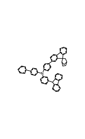 c1ccc(-c2ccc(N(c3ccc(-c4ccc5c(c4)C4(CC6CCC4C6)c4ccccc4-5)cc3)c3cccc(C4c5ccccc5-c5ccccc54)c3)cc2)cc1